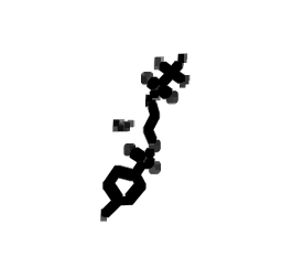 O=S(=O)(OCC[N-]S(=O)(=O)C(F)(F)F)c1ccc(I)cc1.[Na+]